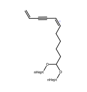 C=CC#C/C=C\CCCCC(OCCCCCCC)OCCCCCCC